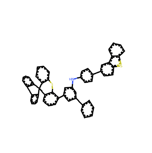 c1ccc(-c2cc(Nc3ccc(-c4ccc5sc6ccccc6c5c4)cc3)cc(-c3cccc4c3Sc3ccccc3C43c4ccccc4-c4ccccc43)c2)cc1